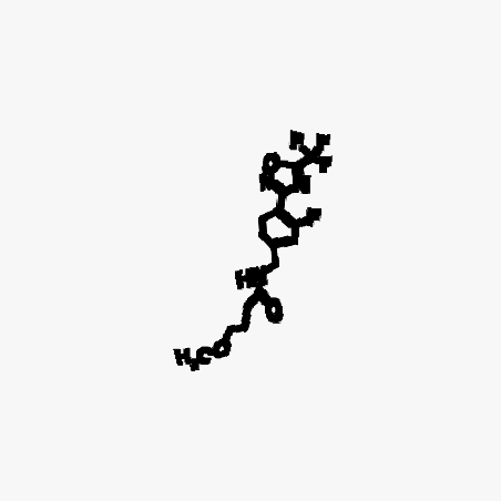 COCCCC(=O)NCc1ccc(-c2noc(C(F)(F)F)n2)c(F)c1